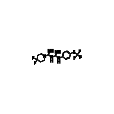 N=C(NC(=N)N1CCC(F)(F)CC1)Nc1ccc(SC(F)(F)F)cc1